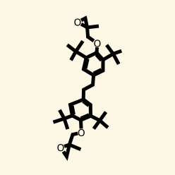 CC1(COc2c(C(C)(C)C)cc(CCc3cc(C(C)(C)C)c(OCC4(C)CO4)c(C(C)(C)C)c3)cc2C(C)(C)C)CO1